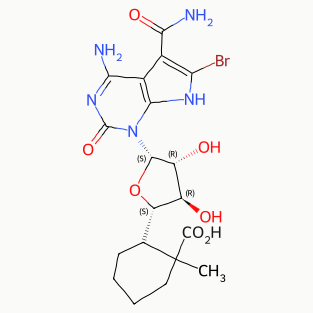 CC1(C(=O)O)CCCCC1[C@@H]1O[C@H](n2c(=O)nc(N)c3c(C(N)=O)c(Br)[nH]c32)[C@H](O)[C@H]1O